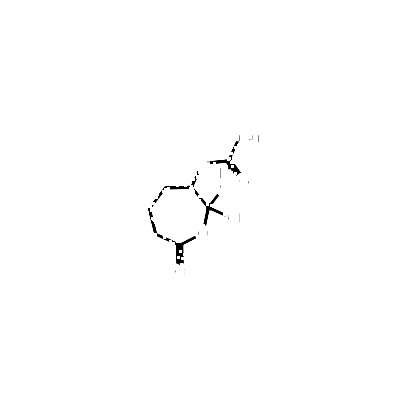 CCC(C)C(=O)OC1CCCC(=O)OC1(C)C